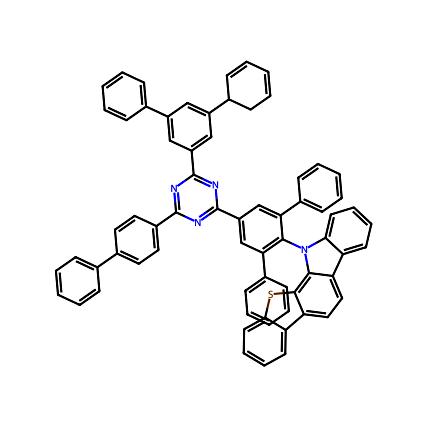 C1=CCC(c2cc(-c3ccccc3)cc(-c3nc(-c4ccc(-c5ccccc5)cc4)nc(-c4cc(-c5ccccc5)c(-n5c6ccccc6c6ccc7c8ccccc8sc7c65)c(-c5ccccc5)c4)n3)c2)C=C1